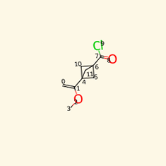 C=C(OC)C12CC(C(=O)Cl)(C1)C2